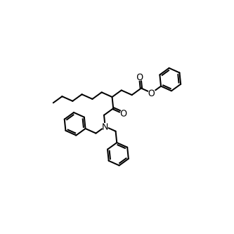 CCCCCCC(CCC(=O)Oc1ccccc1)C(=O)CN(Cc1ccccc1)Cc1ccccc1